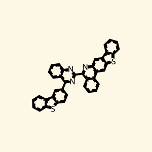 c1ccc2c(-c3ccc4sc5ccccc5c4c3)nc(-c3nc4cc5c(cc4c4ccccc34)sc3ccccc35)nc2c1